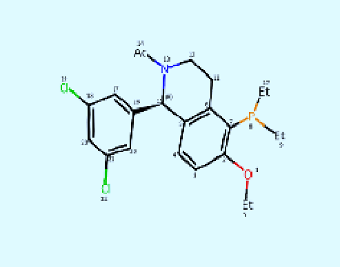 CCOc1ccc2c(c1P(CC)CC)CCN(C(C)=O)[C@@H]2c1cc(Cl)cc(Cl)c1